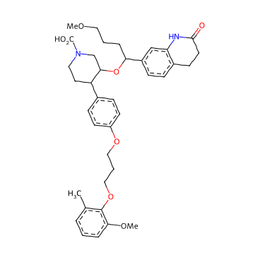 COCCCC(OC1CN(C(=O)O)CCC1c1ccc(OCCCOc2c(C)cccc2OC)cc1)c1ccc2c(c1)NC(=O)CC2